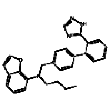 CCCCN(Cc1ccc(-c2ccccc2-c2nnn[nH]2)cc1)c1cccc2ccoc12